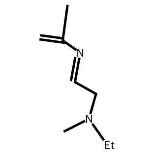 C=C(C)/N=C/CN(C)CC